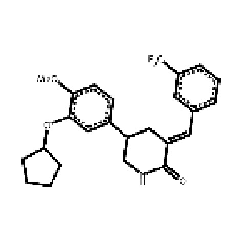 COc1ccc(C2CNC(=O)C(=Cc3cccc(C(F)(F)F)c3)C2)cc1OC1CCCC1